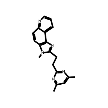 Cc1cc(C)nc(CCc2nc3c4cccnc4ccc3n2C)n1